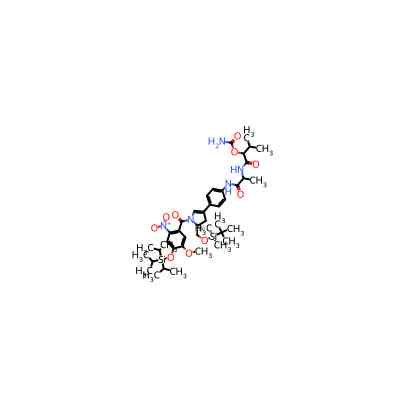 COc1cc(C(=O)N2C=C(c3ccc(NC(=O)C(C)NC(=O)C(OC(N)=O)C(C)C)cc3)C[C@H]2CO[Si](C)(C)C(C)(C)C)c([N+](=O)[O-])cc1O[Si](C(C)C)(C(C)C)C(C)C